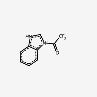 O=C([n+]1c[nH]c2ccccc21)C(F)(F)F